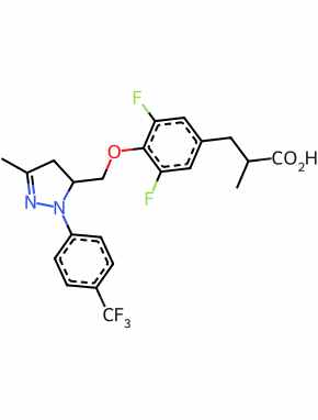 CC1=NN(c2ccc(C(F)(F)F)cc2)C(COc2c(F)cc(CC(C)C(=O)O)cc2F)C1